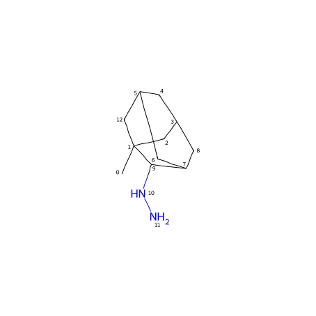 CC12CC3CC(CC(C3)C1NN)C2